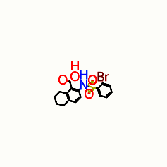 O=C(O)c1c(NS(=O)(=O)c2ccccc2Br)ccc2c1CCCC2